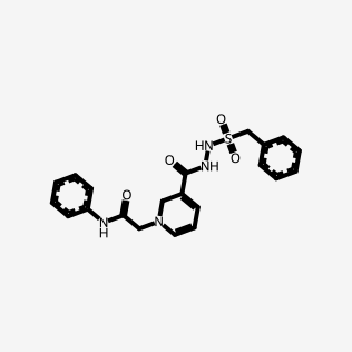 O=C(CN1C=CC=C(C(=O)NNS(=O)(=O)Cc2ccccc2)C1)Nc1ccccc1